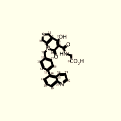 O=C(O)CNC(=O)c1c(O)c2c(n(Cc3ccc(-c4cccc5ncccc45)cc3)c1=O)CSC2